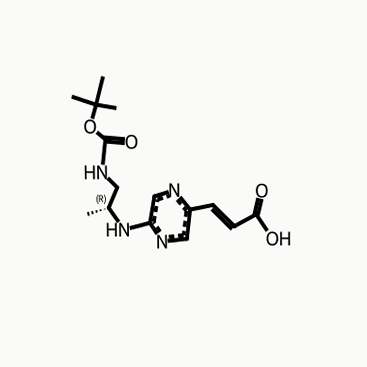 C[C@H](CNC(=O)OC(C)(C)C)Nc1cnc(C=CC(=O)O)cn1